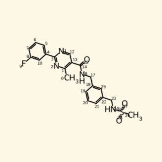 Cc1nc(-c2cccc(F)c2)ncc1C(=O)NCc1cccc(CNS(C)(=O)=O)c1